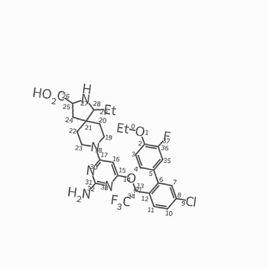 CCOc1ccc(-c2cc(Cl)ccc2[C@@H](Oc2cc(N3CCC4(CC3)CC(C(=O)O)NC4CC)nc(N)n2)C(F)(F)F)cc1F